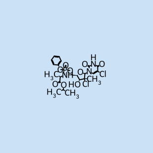 CC(C)OC(=O)[C@@H](C)N[P@@](=O)(OC[C@H]1OC(n2cc(Cl)c(=O)[nH]c2=O)[C@](C)(Cl)[C@@H]1O)Oc1ccccc1